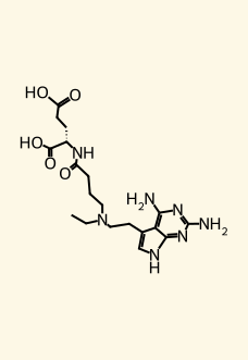 CCN(CCCC(=O)N[C@@H](CCC(=O)O)C(=O)O)CCc1c[nH]c2nc(N)nc(N)c12